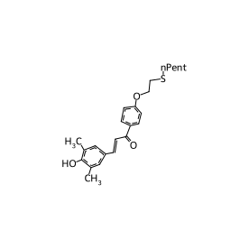 CCCCCSCCOc1ccc(C(=O)C=Cc2cc(C)c(O)c(C)c2)cc1